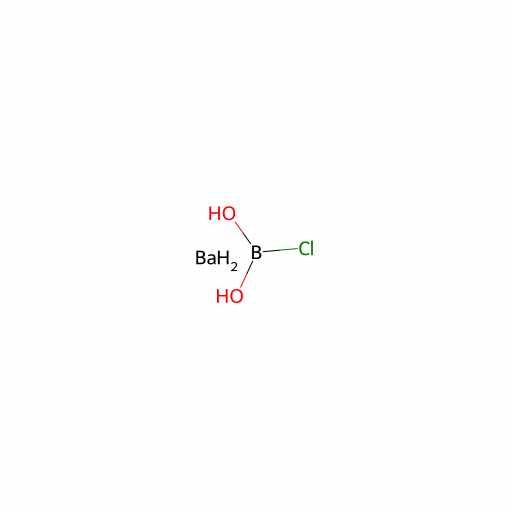 OB(O)Cl.[BaH2]